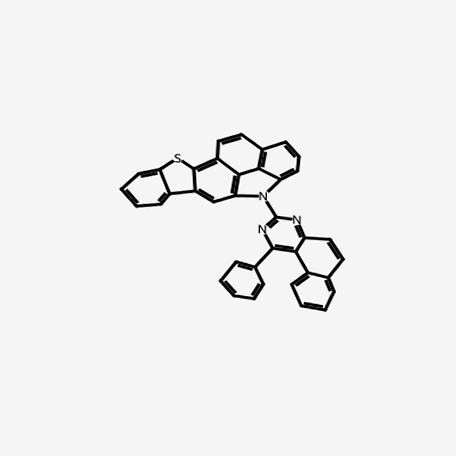 c1ccc(-c2nc(-n3c4cccc5ccc6c7sc8ccccc8c7cc3c6c54)nc3ccc4ccccc4c23)cc1